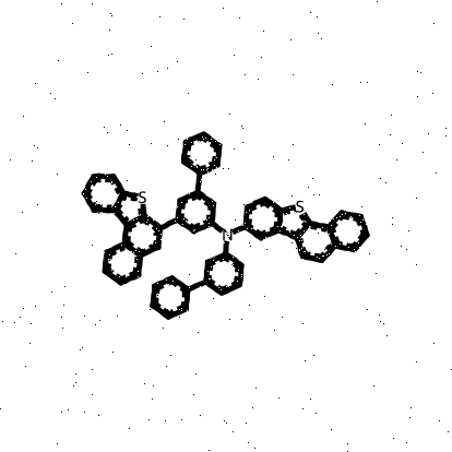 c1ccc(-c2cccc(N(c3cc(-c4ccccc4)cc(-c4cc5ccccc5c5c4sc4ccccc45)c3)c3ccc4sc5c6ccccc6ccc5c4c3)c2)cc1